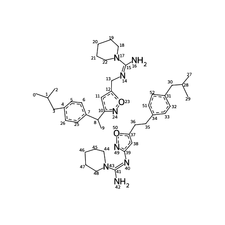 CC(C)Cc1ccc(C(C)c2cc(CN=C(N)N3CCCCC3)on2)cc1.CC(C)Cc1ccc(CCc2cc(N=C(N)N3CCCCC3)no2)cc1